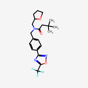 CC(C)(C)CC(=O)N(Cc1ccc(-c2noc(C(F)(F)F)n2)cc1)CC1CCCO1